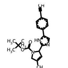 C#Cc1ccc(-c2cnc(C3C=C(C)CN3C(=O)OC(C)(C)C)[nH]2)cc1